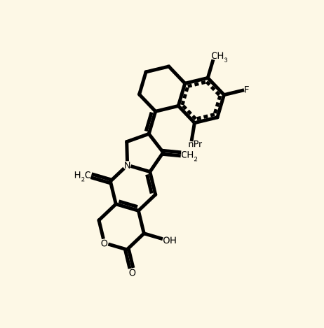 C=C1C2=CC3=C(COC(=O)C3O)C(=C)N2C/C1=C1\CCCc2c(C)c(F)cc(CCC)c21